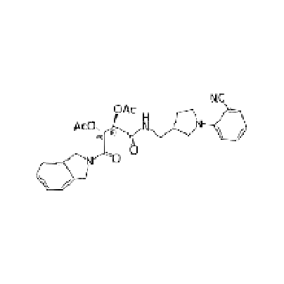 CC(=O)O[C@@H](C(=O)NCC1CCN(c2ccccc2C#N)C1)[C@@H](OC(C)=O)C(=O)N1Cc2ccccc2C1